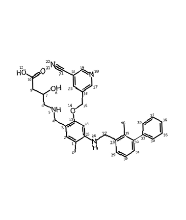 Cc1cc(CNCC(O)CC(=O)O)c(OCc2cncc(C#N)c2)cc1NCc1cccc(-c2ccccc2)c1C